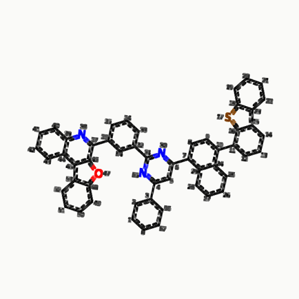 c1ccc(-c2cc(-c3ccc(-c4cccc5c4sc4ccccc45)c4ccccc34)nc(-c3cccc(-c4nc5ccccc5c5c4oc4ccccc45)c3)n2)cc1